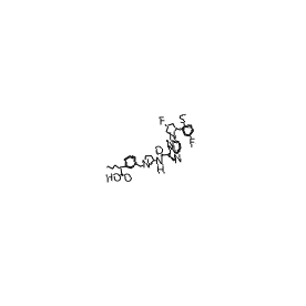 CCCC(C(=O)O)c1cccc(CN2CCC(NC(=O)c3cnc4ccc(N5CC(F)CC5c5cc(F)ccc5SC)nn34)C2)c1